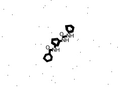 O=C(Nc1ccccc1)Nc1cccc(NC(=O)C2CCCCC2)c1